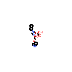 O=C(O)C(=O)O.c1ccc2cc(N3CCN(CCCOc4cccc5[nH]ccc45)CC3)ccc2c1